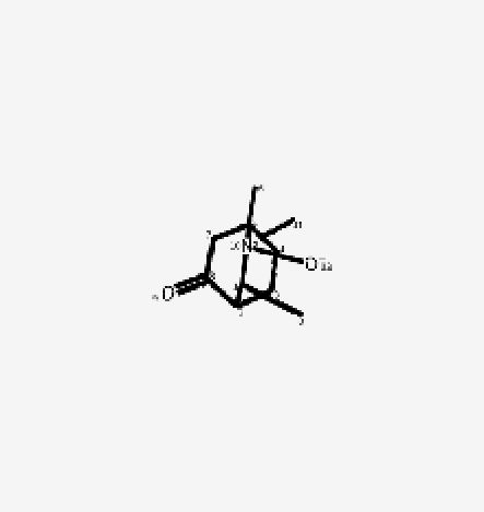 CC1C2CCC(C)(CC2=O)[N+]1(C)[O-]